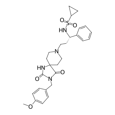 COc1ccc(CN2C(=O)NC3(CCN(CC[C@H](NS(=O)(=O)C4CC4)c4ccccc4)CC3)C2=O)cc1